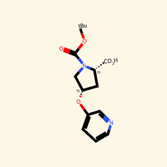 CC(C)(C)OC(=O)N1C[C@@H](Oc2cccnc2)C[C@H]1C(=O)O